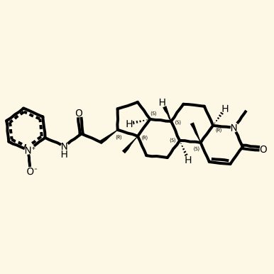 CN1C(=O)C=C[C@]2(C)[C@H]3CC[C@]4(C)[C@@H](CC(=O)Nc5cccc[n+]5[O-])CC[C@H]4[C@@H]3CC[C@@H]12